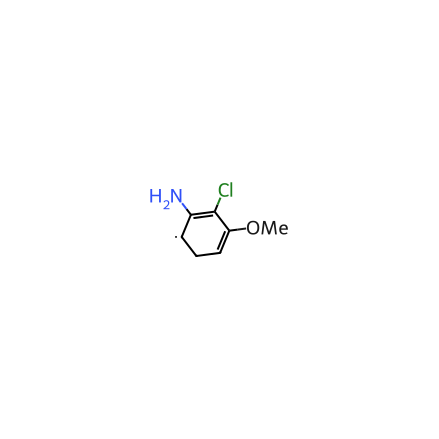 COC1=CC[CH]C(N)=C1Cl